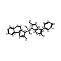 CC1=Cc2c(ccc3ccccc23)C1[Si](C)(C)C1C(C)=Cc2c1sc(C)c2-c1ccccc1